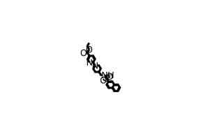 CCOC(=O)c1ccc(N2CCC(CNS(=O)(=O)c3ccc4ccccc4c3)CC2)nc1